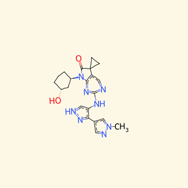 Cn1cc(-c2n[nH]cc2Nc2ncc3c(n2)N([C@@H]2CCC[C@@H](O)C2)C(=O)C32CC2)cn1